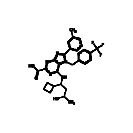 Cc1cccc(-c2nc3nc(C(=O)O)nc(NC(CC(C)O)C4CCC4)c3n2Cc2ccc(C(F)(F)F)cc2)c1